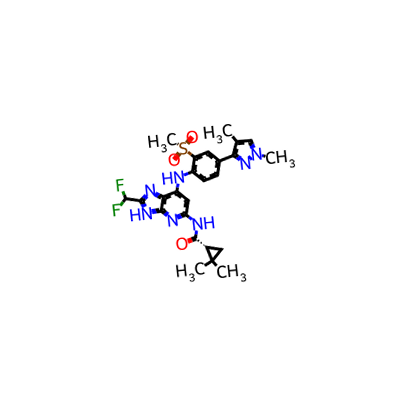 Cc1cn(C)nc1-c1ccc(Nc2cc(NC(=O)[C@@H]3CC3(C)C)nc3[nH]c(C(F)F)nc23)c(S(C)(=O)=O)c1